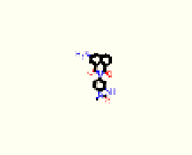 Cn1c(=O)[nH]c2cc(N3C(=O)c4cccc5cc(N)cc(c45)C3=O)ccc21